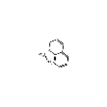 C1=Cc2ccccc2OC1.NS(=O)(=O)O